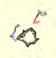 CCCN.O=S(=O)(O)O.c1ccccc1